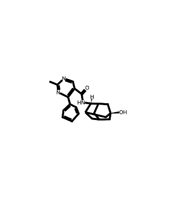 Cc1ncc(C(=O)N[C@H]2C3CC4CC2C[C@@](O)(C4)C3)c(-c2ccccc2)n1